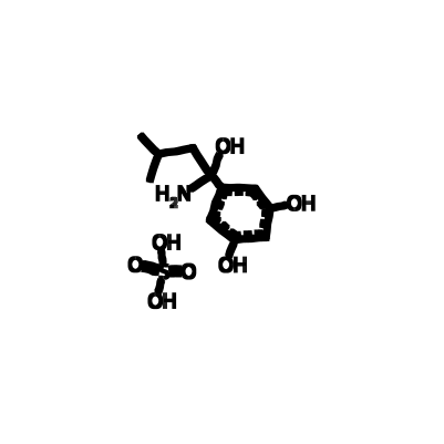 CC(C)CC(N)(O)c1cc(O)cc(O)c1.O=S(=O)(O)O